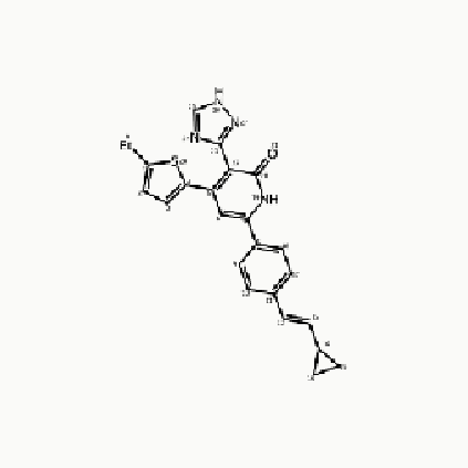 CCc1ccc(-c2cc(-c3ccc(/C=C/C4CC4)cc3)[nH]c(=O)c2-c2nc[nH]n2)s1